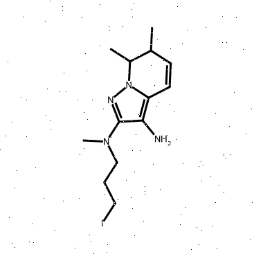 CC1C=Cc2c(N)c(N(C)CCCI)nn2C1C